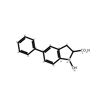 O=C(O)C1Cc2cc(-c3ccccc3)ccc2N1O